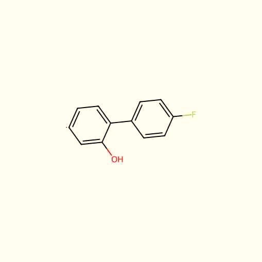 Oc1c[c]ccc1-c1ccc(F)cc1